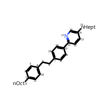 CCCCCCCCc1ccc(CCc2ccc(-c3ccc(CCCCCCC)cn3)cc2)cc1